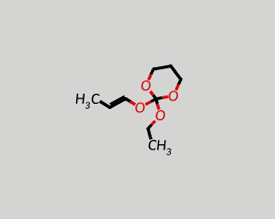 CC=COC1(OCC)OCCCO1